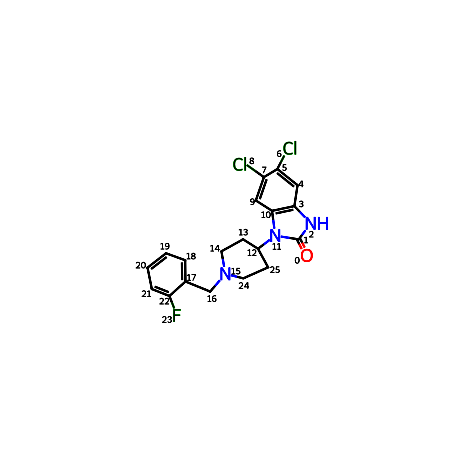 O=c1[nH]c2cc(Cl)c(Cl)cc2n1C1CCN(Cc2ccccc2F)CC1